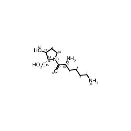 NCCCC[C@H](N)C(=O)N1CCC(O)[C@H]1C(=O)O